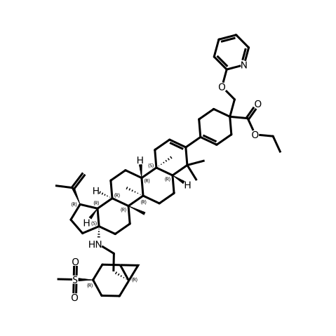 C=C(C)[C@@H]1CC[C@]2(NCC[C@]34CC[C@@H](S(C)(=O)=O)CC3C4)CC[C@]3(C)[C@H](CC[C@@H]4[C@@]5(C)CC=C(C6=CCC(COc7ccccn7)(C(=O)OCC)CC6)C(C)(C)[C@@H]5CC[C@]43C)[C@@H]12